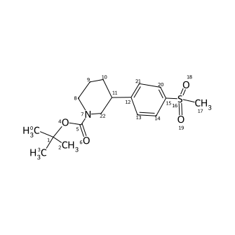 CC(C)(C)OC(=O)N1CCCC(c2ccc(S(C)(=O)=O)cc2)C1